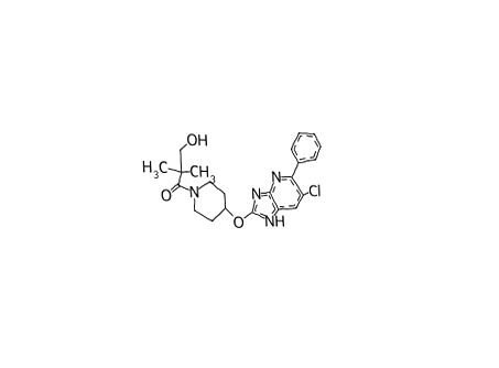 CC(C)(CO)C(=O)N1CCC(Oc2nc3nc(-c4ccccc4)c(Cl)cc3[nH]2)CC1